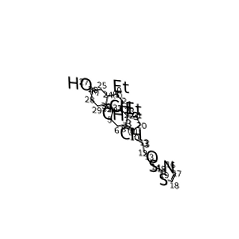 CC[C@@H](CC1CCCC2(C)[C@@H](CCCOSc3nccs3)CCC12CC)C1C[C@H](O)CCC1(C)C